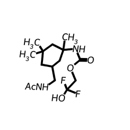 CC(=O)NCC1CC(C)(C)CC(C)(NC(=O)OCC(O)(F)F)C1